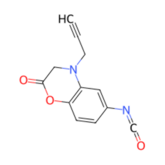 C#CCN1CC(=O)Oc2ccc(N=C=O)cc21